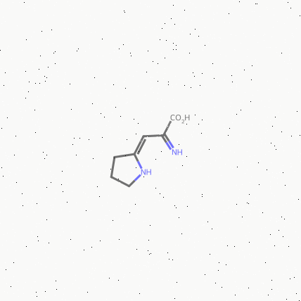 N=C(/C=C1/CCCN1)C(=O)O